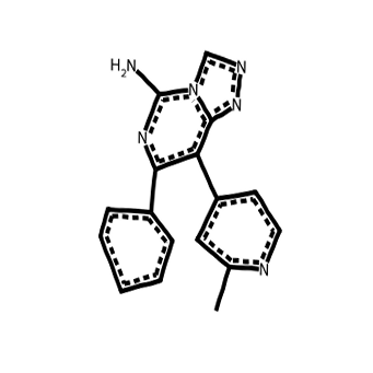 Cc1cc(-c2c(-c3ccccc3)nc(N)n3cnnc23)ccn1